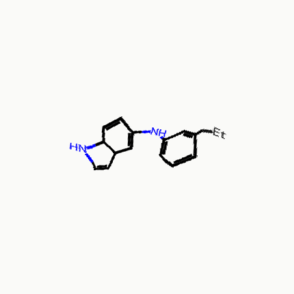 CCc1cccc(NC2=CC3C=CNC3C=C2)c1